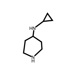 C1CC(NC2CC2)CCN1